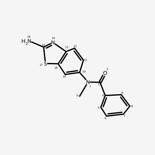 CN(C(=O)c1ccccc1)c1ccc2nc(N)sc2c1